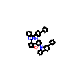 c1ccc(-c2ccc(C3=c4ccccc4=NC(c4cccc5oc6c(-n7c8ccccc8c8ccc(-c9ccccc9)cc87)cccc6c45)N3)cc2)cc1